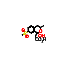 C[C@@H]1Cc2ccc(S(C)(=O)=O)cc2C(O)(CC(=O)O)O1